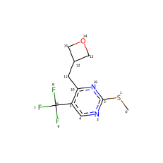 CSc1ncc(C(F)(F)F)c(CC2COC2)n1